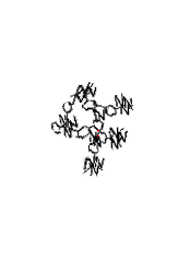 Cc1nc(C)nc(-c2ccc3c(c2)c2cc(-c4nc(C)nc(C)n4)ccc2n3-c2ccc(C#N)c(-c3cc(-c4nc(-c5ccccc5)nc(-c5ccccc5)n4)ccc3-n3c4ccc(-c5nc(C)nc(C)n5)cc4c4cc(-c5nc(C)nc(C)n5)ccc43)c2)n1